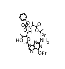 CCOc1nc(N)nc2c1ncn2[C@@H](C)O[C@H](COP(=O)(NC(C)C(=O)OC(C)C(C)C)Oc1ccccc1)[C@H](C)O